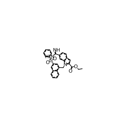 CCOC(=O)c1cc2ccc(C(=N)N)cc2n1Cc1cc(S(=O)(=O)c2ccccc2)cc2ccccc12